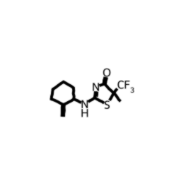 C=C1CCCCC1NC1=NC(=O)C(C)(C(F)(F)F)S1